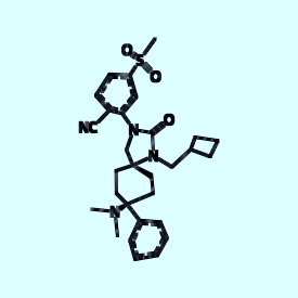 CN(C)[C@]1(c2ccccc2)CC[C@@]2(CC1)CN(c1cc(S(C)(=O)=O)ccc1C#N)C(=O)N2CC1CCC1